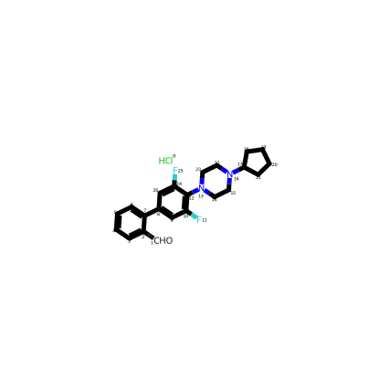 Cl.O=Cc1ccccc1-c1cc(F)c(N2CCN(C3CCCC3)CC2)c(F)c1